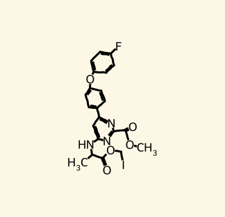 COC(=O)c1nc(NC(C)C(=O)OCI)cc(-c2ccc(Oc3ccc(F)cc3)cc2)n1